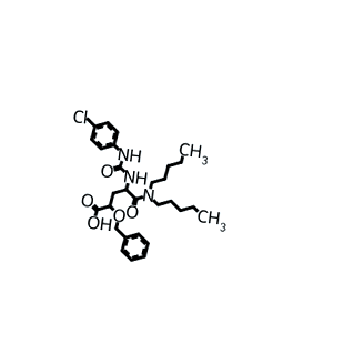 CCCCCN(CCCCC)C(=O)C(CC(OCc1ccccc1)C(=O)O)NC(=O)Nc1ccc(Cl)cc1